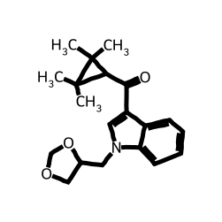 CC1(C)C(C(=O)c2cn(CC3COCO3)c3ccccc23)C1(C)C